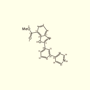 COC(=O)c1cccc2nc(-c3cccc(-c4ccncc4)c3)oc12